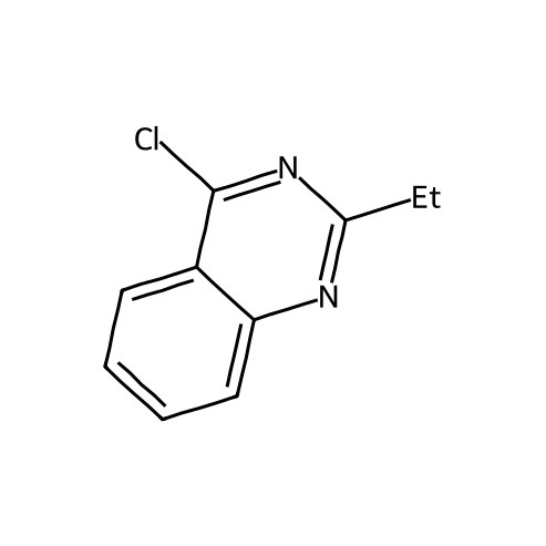 CCc1nc(Cl)c2ccccc2n1